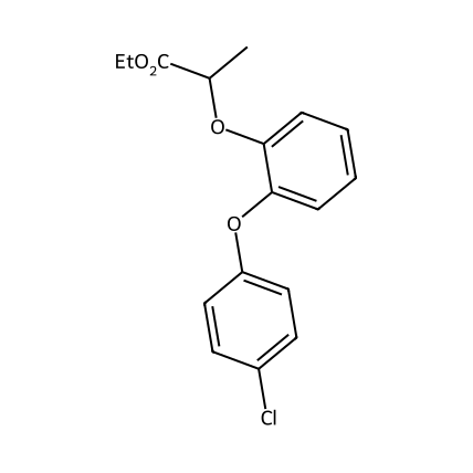 CCOC(=O)C(C)Oc1ccccc1Oc1ccc(Cl)cc1